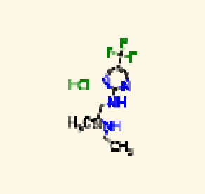 CCN[C@@H](C)CNc1ncc(C(F)(F)F)cn1.Cl